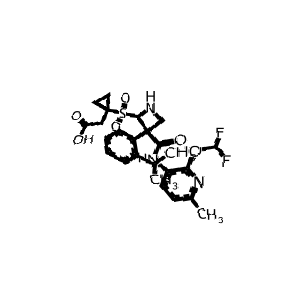 Cc1ccc(NC(=O)C2(c3ccccc3C(C)C)CNC2S(=O)(=O)C2(CC(=O)O)CC2)c(OC(F)F)n1